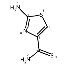 NC(=S)c1csc(N)n1